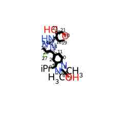 CC(C)c1nc(C(C)(C)O)nc2ccc(-c3nc(N[C@@H]4CCOC[C@H]4O)ncc3F)cc12